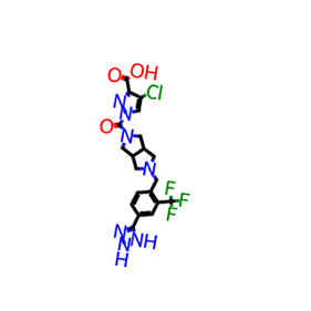 O=C(O)c1nn(C(=O)N2CC3CN(Cc4ccc(-c5n[nH][nH]5)cc4C(F)(F)F)CC3C2)cc1Cl